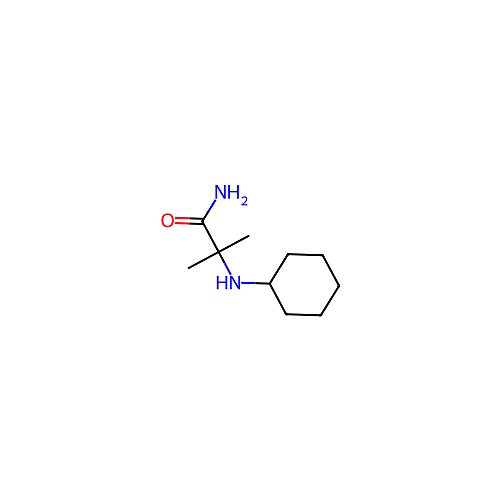 CC(C)(NC1CCCCC1)C(N)=O